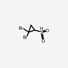 O=[SH](=O)C1CC1(Br)Br